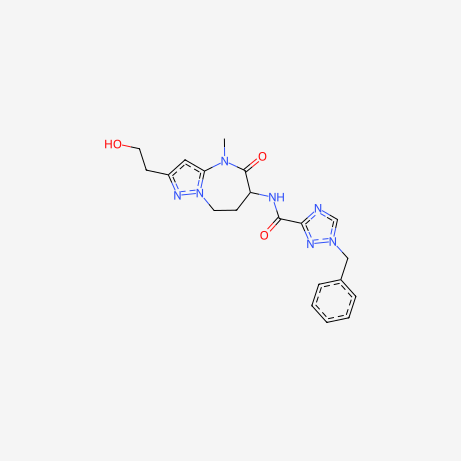 CN1C(=O)C(NC(=O)c2ncn(Cc3ccccc3)n2)CCn2nc(CCO)cc21